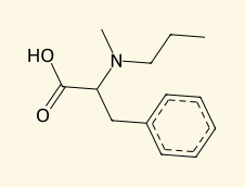 CCCN(C)C(Cc1ccccc1)C(=O)O